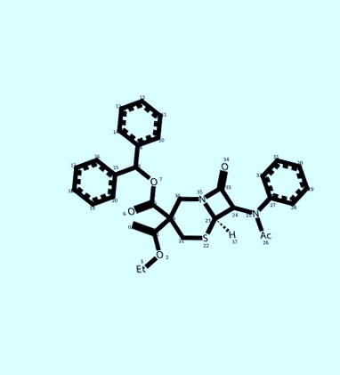 C=C(OCC)C1(C(=O)OC(c2ccccc2)c2ccccc2)CS[C@@H]2C(N(C(C)=O)c3ccccc3)C(=O)N2C1